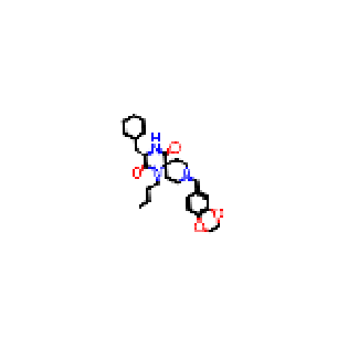 CCCCN1C(=O)[C@@H](CC2CCCCC2)NC(=O)C12CCN(Cc1ccc3c(c1)OCCO3)CC2